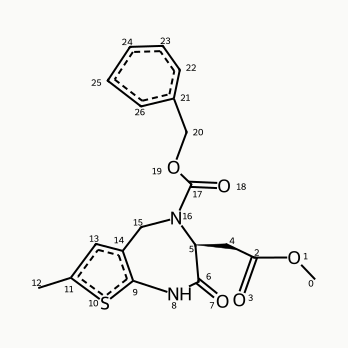 COC(=O)C[C@H]1C(=O)Nc2sc(C)cc2CN1C(=O)OCc1ccccc1